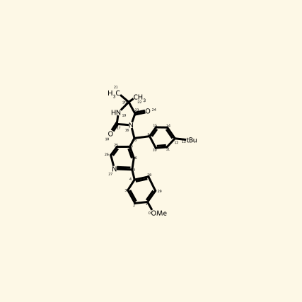 COc1ccc(-c2cc(C(c3ccc(C(C)(C)C)cc3)N3C(=O)NC(C)(C)C3=O)ccn2)cc1